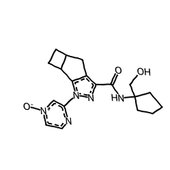 O=C(NC1(CO)CCCC1)c1nn(-c2c[n+]([O-])ccn2)c2c1CC1CCC21